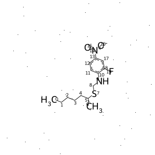 CCCCC[C@H](C)SCNc1ccc([N+](=O)[O-])cc1F